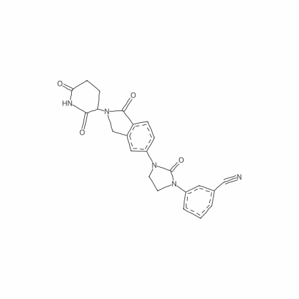 N#Cc1cccc(N2CCN(c3ccc4c(c3)CN(C3CCC(=O)NC3=O)C4=O)C2=O)c1